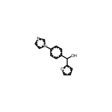 OC(c1ccc(-n2ccnc2)cc1)c1ccco1